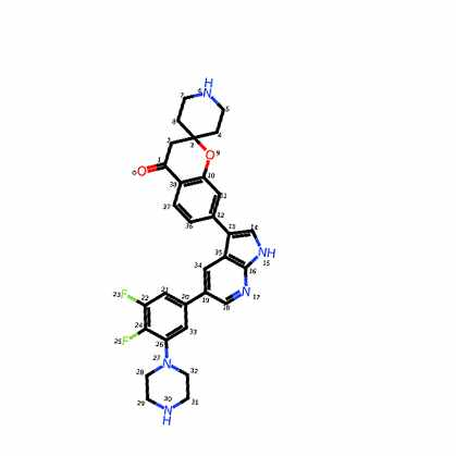 O=C1CC2(CCNCC2)Oc2cc(-c3c[nH]c4ncc(-c5cc(F)c(F)c(N6CCNCC6)c5)cc34)ccc21